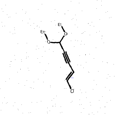 CCOC(C#C/C=C/Cl)OCC